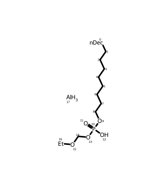 CCCCCCCCCCCCCCCCCCOP(=O)(O)OCOCC.[AlH3]